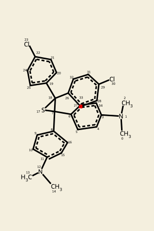 CN(C)c1ccc(C2(c3ccc(N(C)C)cc3)SC2(c2ccc(Cl)cc2)c2ccc(Cl)cc2)cc1